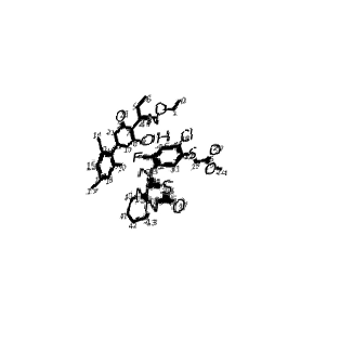 CCO/N=C(\CC)C1=C(O)CC(c2c(C)cc(C)cc2C)CC1=O.COC(=O)CSc1cc(/N=c2\sc(=O)n3n2CCCC3)c(F)cc1Cl